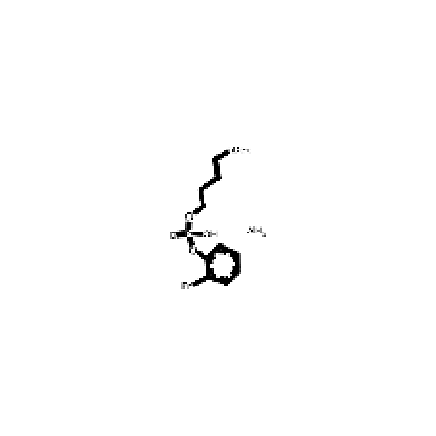 CCCCCCCCCCCCCCOP(=O)(O)Oc1ccccc1C(C)C.[AlH3]